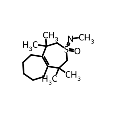 CN=S1(=O)CC(C)(C)C2=C(CCCCC2)C(C)(C)C1